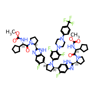 COC(=O)N[C@H](C(=O)N1CCC[C@H]1c1nc2cc(F)c([C@H]3CC[C@H](c4cc5[nH]c([C@@H]6CCCN6C(=O)[C@@H](NC(=O)OC)C6CCCC6)nc5cc4F)N3c3cc(F)c(N4CCN(c5ccc(C(F)(F)F)cc5)CC4)c(F)c3)cc2[nH]1)C1CCCC1